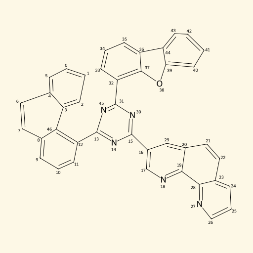 c1ccc2c(c1)ccc1cccc(-c3nc(-c4cnc5c(ccc6cccnc65)c4)nc(-c4cccc5c4oc4ccccc45)n3)c12